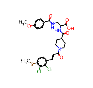 COc1ccc(C(=O)NC[C@H](NC(=O)C2CCN(C(=O)/C=C/c3ccc(SC)c(Cl)c3Cl)CC2)C(=O)O)cc1